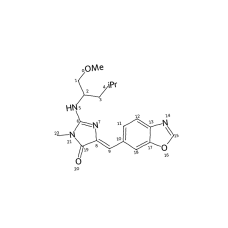 COCC(CC(C)C)NC1=N/C(=C\c2ccc3ncoc3c2)C(=O)N1C